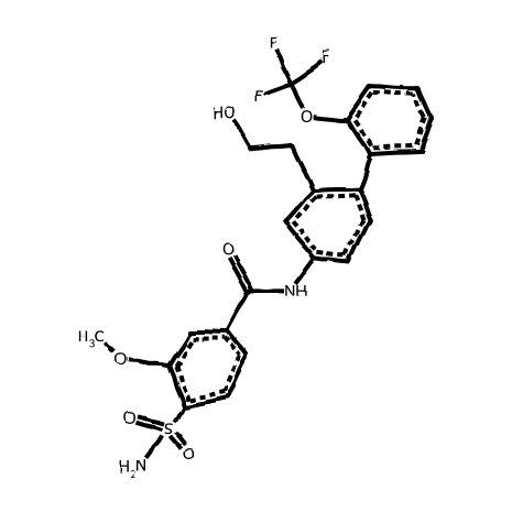 COc1cc(C(=O)Nc2ccc(-c3ccccc3OC(F)(F)F)c(CCO)c2)ccc1S(N)(=O)=O